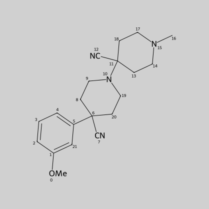 COc1cccc(C2(C#N)CCN(C3(C#N)CCN(C)CC3)CC2)c1